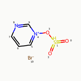 O=[SH](=O)O[n+]1cccnc1.[Br-]